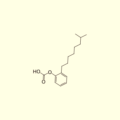 CC(C)CCCCCCc1ccccc1OC(=O)O